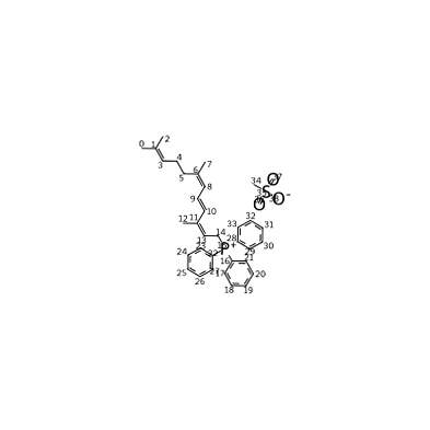 CC(C)=CCCC(C)=CC=CC(C)=CC[P+](c1ccccc1)(c1ccccc1)c1ccccc1.CS(=O)(=O)[O-]